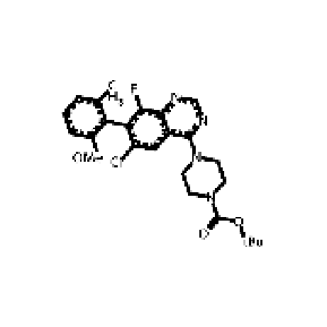 COc1cccc(C)c1-c1c(Cl)cc2c(N3CCN(C(=O)OC(C)(C)C)CC3)ncnc2c1F